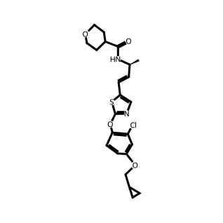 C[C@@H](/C=C/c1cnc(Oc2ccc(OCC3CC3)cc2Cl)s1)NC(=O)C1CCOCC1